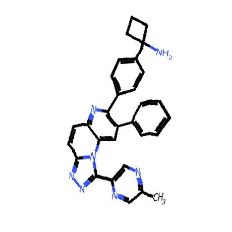 Cc1cnc(-c2nnc3ccc4nc(-c5ccc(C6(N)CCC6)cc5)c(-c5ccccc5)cc4n23)cn1